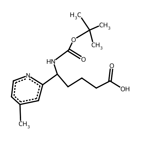 Cc1ccnc(C(CCCC(=O)O)NC(=O)OC(C)(C)C)c1